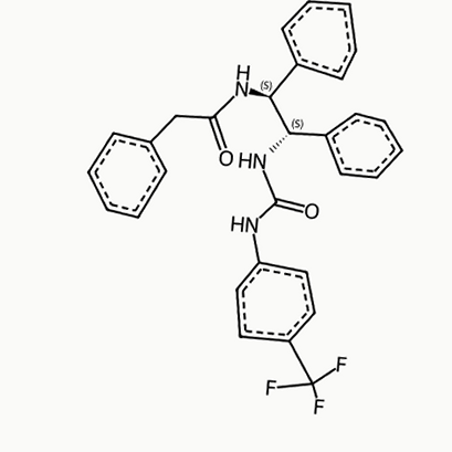 O=C(Cc1ccccc1)N[C@@H](c1ccccc1)[C@@H](NC(=O)Nc1ccc(C(F)(F)F)cc1)c1ccccc1